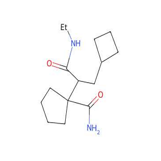 CCNC(=O)C(CC1CCC1)C1(C(N)=O)CCCC1